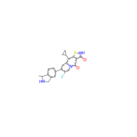 CC1NCc2cc(-c3cc4c(C5CC5)c5s[nH]c(=O)c5c(=O)n4cc3F)ccc21